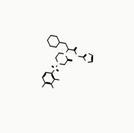 O=C(Nc1nccs1)C(CC1CCCCC1)N1CCN(S(=O)(=O)c2ccc(Cl)c(Cl)c2Cl)CC1=O